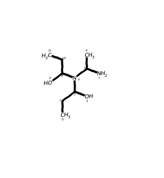 CCC(O)N(C(C)N)C(O)CC